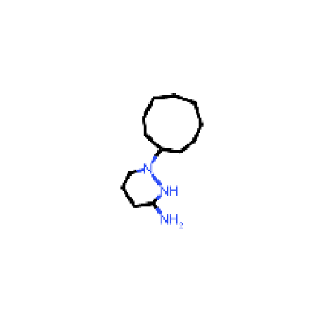 NC1CCCN(C2CCCCCCCC2)N1